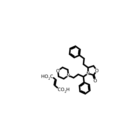 O=C(O)C=CC(=O)O.O=C1OCC(CCc2ccccc2)N1C(CCN1CCOCC1)c1ccccc1